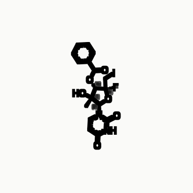 C[C@]1(O)[C@H](n2ccc(=O)[nH]c2=O)O[C@](F)(CI)[C@H]1OC(=O)c1ccccc1